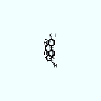 C[C@H]1[C@H](O)CC[C@@]2(C)[C@H]1CC[C@@H]1[C@@H]2CC[C@]2(C)[C@@H](C#N)CC[C@@H]12